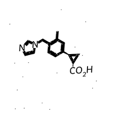 Cc1cc([C@H]2C[C@@H]2C(=O)O)ccc1Cn1ccnc1